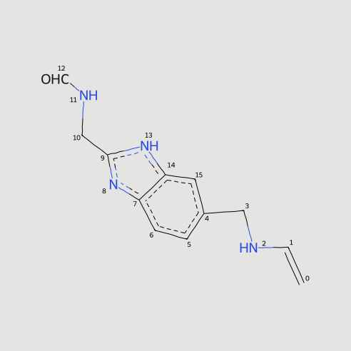 C=CNCc1ccc2nc(CNC=O)[nH]c2c1